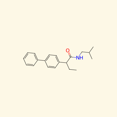 CCC(C(=O)NCC(C)C)c1ccc(-c2ccccc2)cc1